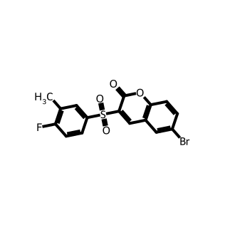 Cc1cc(S(=O)(=O)c2cc3cc(Br)ccc3oc2=O)ccc1F